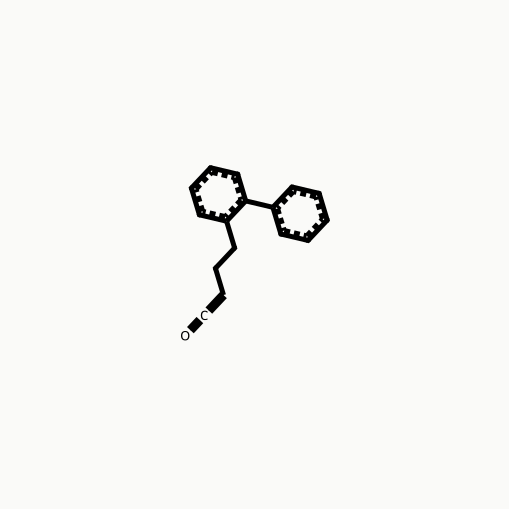 O=C=CCCc1ccccc1-c1ccccc1